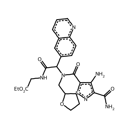 CCOC(=O)CNC(=O)C(c1ccc2ncccc2c1)N(CC1CCCO1)C(=O)c1snc(C(N)=O)c1N